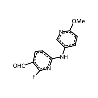 COc1ccc(Nc2ccc(C=O)c(F)n2)cn1